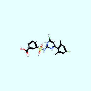 Cc1cc(F)cc(C)c1-c1cc(Cl)nc(NS(=O)(=O)c2cccc(C(=O)O)c2)n1